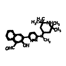 CN(c1ccc(-c2cc3ccccc3c(C=O)c2O)nn1)C1CC(C)(C)NC(C)(C)C1